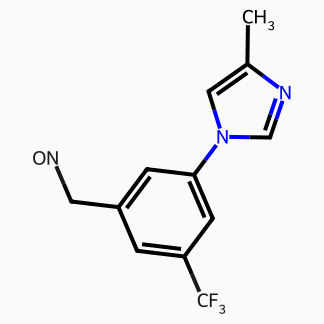 Cc1cn(-c2cc(CN=O)cc(C(F)(F)F)c2)cn1